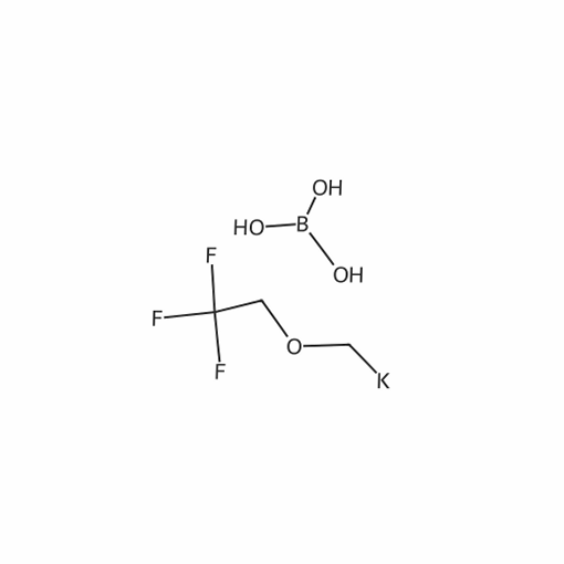 FC(F)(F)CO[CH2][K].OB(O)O